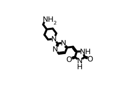 NCC1CCN(c2nccc(C=C3NC(=O)NC3=O)n2)CC1